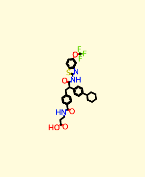 O=C(O)CCNC(=O)c1ccc(CC(C(=O)Nc2nc3cc(OC(F)(F)F)ccc3s2)c2ccc(C3CCCCC3)cc2)cc1